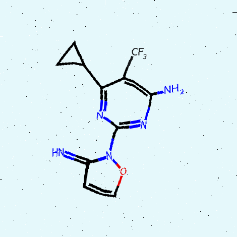 N=c1ccon1-c1nc(N)c(C(F)(F)F)c(C2CC2)n1